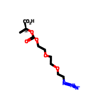 C[C@H](OC(=O)OCCOCCOCCN=[N+]=[N-])C(=O)O